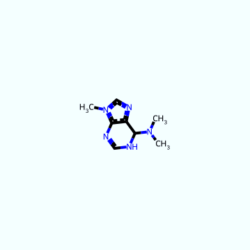 CN(C)C1NC=Nc2c1ncn2C